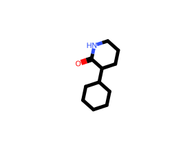 O=C1NCCCC1C1CCCCC1